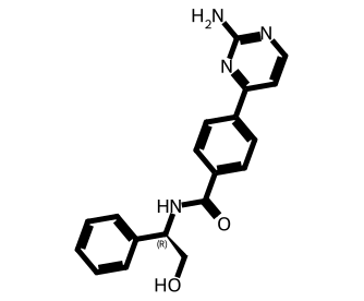 Nc1nccc(-c2ccc(C(=O)N[C@@H](CO)c3ccccc3)cc2)n1